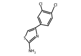 Nc1nc(-c2ccc(Cl)c(Cl)c2)cs1